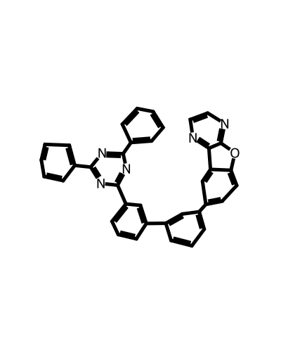 c1ccc(-c2nc(-c3ccccc3)nc(-c3cccc(-c4cccc(-c5ccc6oc7nccnc7c6c5)c4)c3)n2)cc1